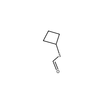 O=CSC1CCC1